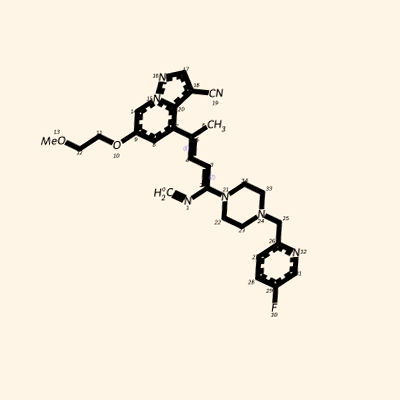 C=N/C(=C\C=C(/C)c1cc(OCCOC)cn2ncc(C#N)c12)N1CCN(Cc2ccc(F)cn2)CC1